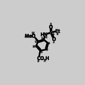 CCS(=O)(=O)Nc1ccc(C(=O)O)cc1OC